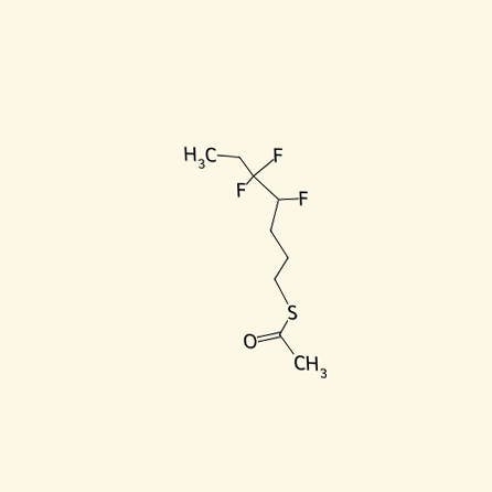 CCC(F)(F)C(F)CCCSC(C)=O